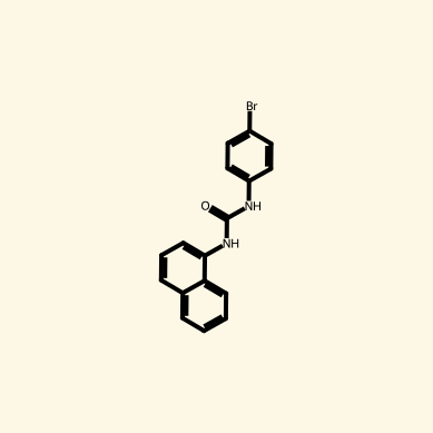 O=C(Nc1ccc(Br)cc1)Nc1cccc2ccccc12